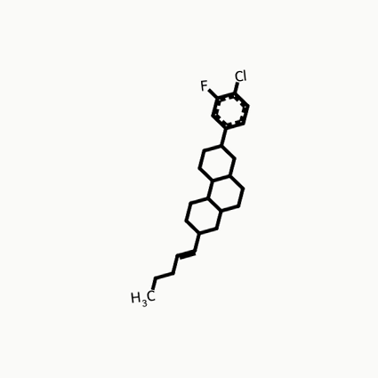 CCC/C=C/C1CCC2C(CCC3CC(c4ccc(Cl)c(F)c4)CCC32)C1